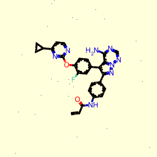 C=CC(=O)Nc1ccc(-c2nn3ncnc(N)c3c2-c2ccc(Oc3nccc(C4CC4)n3)c(F)c2)cc1